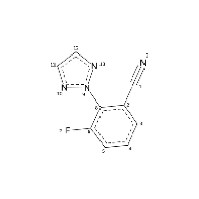 N#Cc1cccc(F)c1-n1nccn1